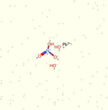 O=[N+]([O-])O.[OH-].[OH-].[Pb+2]